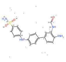 Nc1ccc(-c2ccc(Nc3ccc(S(N)(=O)=O)cc3)cc2)cc1NC=O